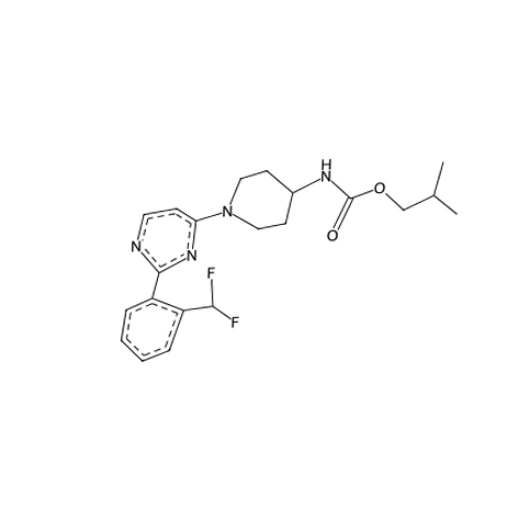 CC(C)COC(=O)NC1CCN(c2ccnc(-c3ccccc3C(F)F)n2)CC1